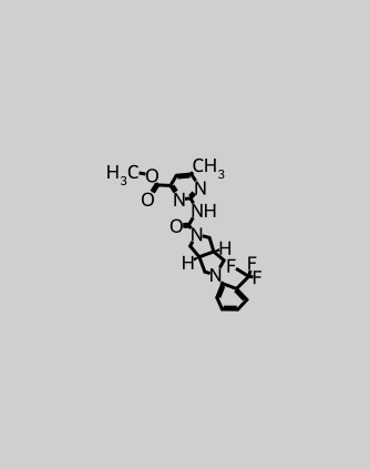 COC(=O)c1cc(C)nc(NC(=O)N2C[C@@H]3CN(c4ccccc4C(F)(F)F)C[C@@H]3C2)n1